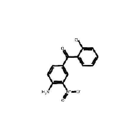 Nc1ccc(C(=O)c2ccccc2Cl)cc1[N+](=O)[O-]